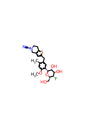 COc1cc(C)c(Cc2cc3c(s2)CCN(C#N)C3)cc1[C@@H]1O[C@H](CO)[C@@H](F)[C@H](O)[C@H]1O